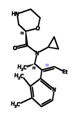 CC/C=C(\c1nccc(C)c1C)[C@H](C)N(C(=O)[C@H]1CNCCO1)C1CC1